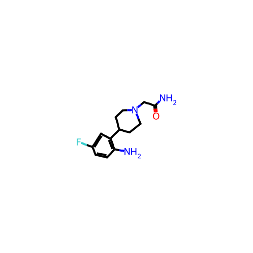 NC(=O)CN1CCC(c2cc(F)ccc2N)CC1